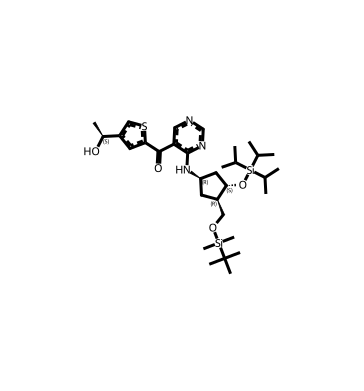 CC(C)[Si](O[C@H]1C[C@H](Nc2ncncc2C(=O)c2cc([C@H](C)O)cs2)C[C@@H]1CO[Si](C)(C)C(C)(C)C)(C(C)C)C(C)C